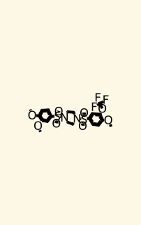 COc1ccc(S(=O)(=O)N2CCN(S(=O)(=O)c3ccc(OC)c(OC(F)(F)F)c3)CC2)cc1OC